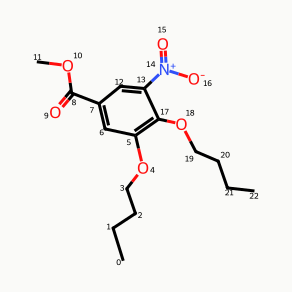 CCCCOc1cc(C(=O)OC)cc([N+](=O)[O-])c1OCCCC